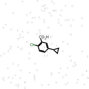 O=C(O)c1cc(C2CC2)ccc1Cl